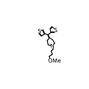 COCCCCN1CCC(=C(c2ccsc2)c2ccsc2)CC1